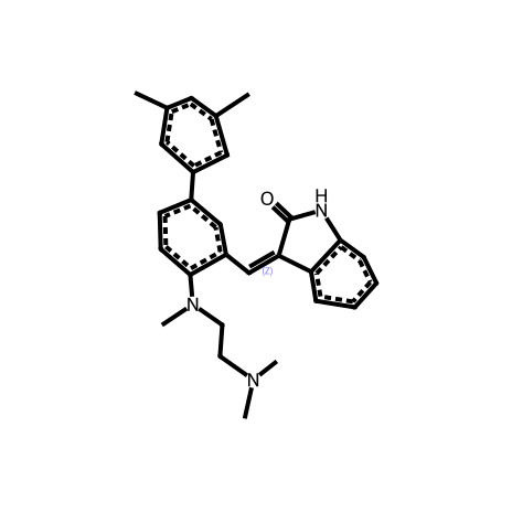 Cc1cc(C)cc(-c2ccc(N(C)CCN(C)C)c(/C=C3\C(=O)Nc4ccccc43)c2)c1